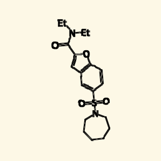 CCN(CC)C(=O)c1cc2cc(S(=O)(=O)N3CCCCCC3)ccc2o1